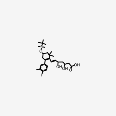 Cc1cc(C2=C(/C=C/C(O)CC(O)CC(=O)O)C(C)(C)CC(O[Si](C)(C)C(C)(C)C)C2)ccc1F